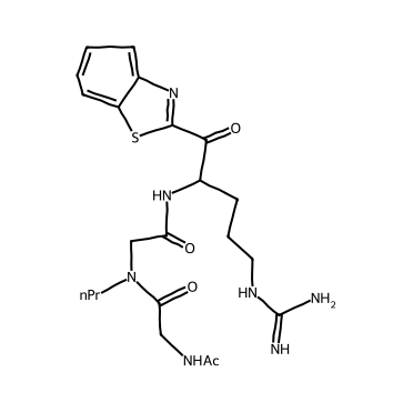 CCCN(CC(=O)NC(CCCNC(=N)N)C(=O)c1nc2ccccc2s1)C(=O)CNC(C)=O